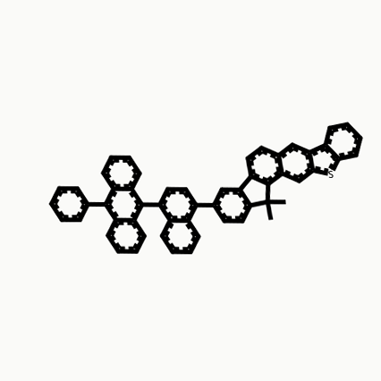 CC1(C)c2ccc(-c3ccc(-c4c5ccccc5c(-c5ccccc5)c5ccccc45)c4ccccc34)cc2-c2ccc3cc4c(cc3c21)sc1ccccc14